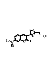 CCN(CC)c1ccc2cc(-c3csc(CC(=O)O)n3)c(=O)oc2c1